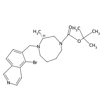 C[C@@H]1CN(C(=O)OC(C)(C)C)CCCCN1Cc1ccc2cnccc2c1Br